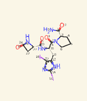 NC(=O)[C@@H]1CCCN1C(=O)[C@H](Cc1[nH]c(I)nc1I)NC(=O)[C@@H]1CC(=O)N1